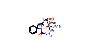 CCC[Si](OC)(OC)OC(CC1(NC(N)=O)C=CC=CC1)N=C=O